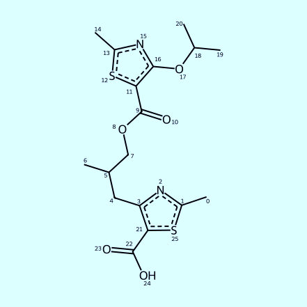 Cc1nc(CC(C)COC(=O)c2sc(C)nc2OC(C)C)c(C(=O)O)s1